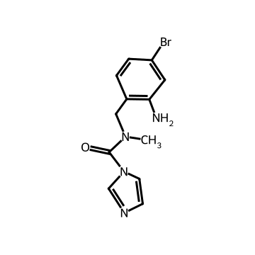 CN(Cc1ccc(Br)cc1N)C(=O)n1ccnc1